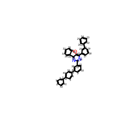 c1ccc(-c2ccc(-c3cccc(-c4nc(-c5cccc(-c6ccccc6)c5)c5oc6ccccc6c5n4)c3)cc2)cc1